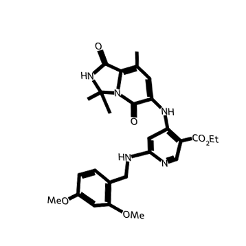 CCOC(=O)c1cnc(NCc2ccc(OC)cc2OC)cc1Nc1cc(C)c2n(c1=O)C(C)(C)NC2=O